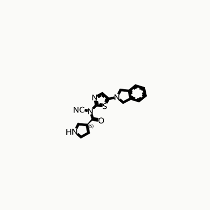 N#CN(C(=O)[C@H]1CCNC1)c1ncc(N2Cc3ccccc3C2)s1